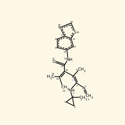 C=N/C(NC1(C)CC1)=C(\C)C(C(=O)Nc1ccc2ncsc2c1)=C(C)C